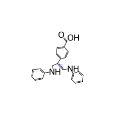 O=C(O)c1ccc(/C(=C\Nc2ccccc2)CNc2ccccc2)cc1